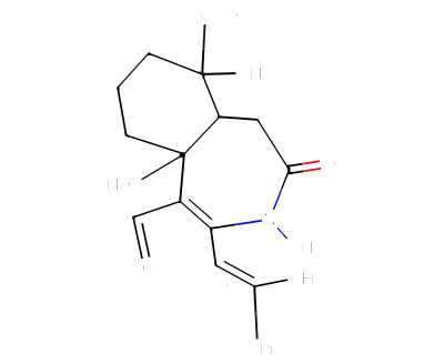 C=CC1=C(/C=C(\C)C(C)C)N(C)C(=O)CC2C(C)(C=O)CCCC12C